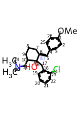 COc1ccc(/C=C2\CCCC(CN(C)C)C2(O)Cc2ccccc2Cl)cc1